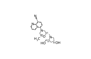 C[C@@H]1CN(c2ccc(C#N)c3ncccc23)C[C@H](CN2C[C@H](O)C[C@H]2CO)O1